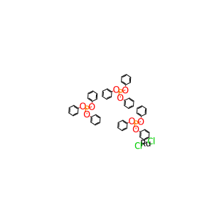 [Cl][Ru][Cl].c1ccc(OP(Oc2ccccc2)Oc2ccccc2)cc1.c1ccc(OP(Oc2ccccc2)Oc2ccccc2)cc1.c1ccc(OP(Oc2ccccc2)Oc2ccccc2)cc1